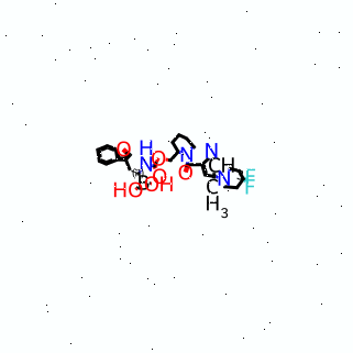 CC(C)(C=C(C#N)C(=O)N1CCCCC1COC(=O)N[C@@H](Cc1coc2ccccc12)B(O)O)N1CCC(F)(F)CC1